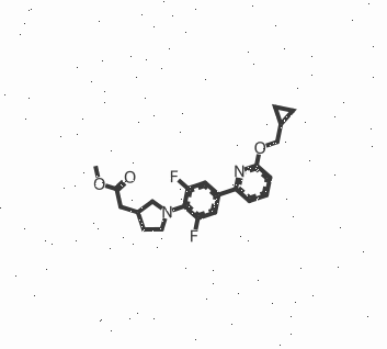 COC(=O)CC1CCN(c2c(F)cc(-c3cccc(OCC4CC4)n3)cc2F)C1